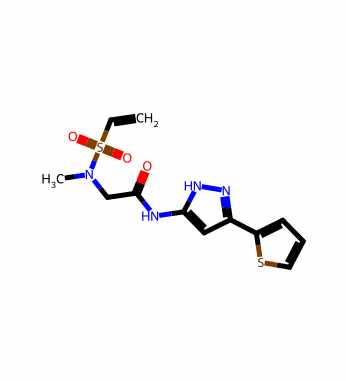 C=CS(=O)(=O)N(C)CC(=O)Nc1cc(-c2cccs2)n[nH]1